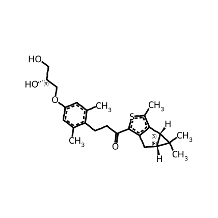 Cc1cc(OC[C@H](O)CO)cc(C)c1CCC(=O)c1sc(C)c2c1C[C@@H]1[C@H]2C1(C)C